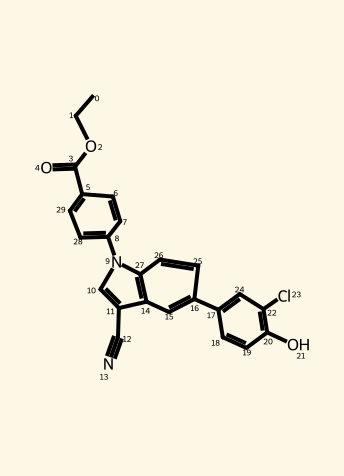 CCOC(=O)c1ccc(-n2cc(C#N)c3cc(-c4ccc(O)c(Cl)c4)ccc32)cc1